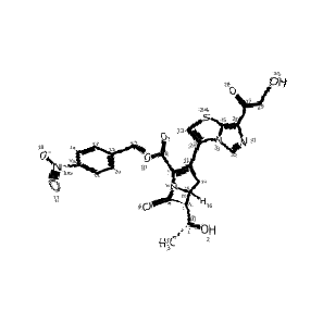 C[C@@H](O)[C@H]1C(=O)N2C(C(=O)OCc3ccc([N+](=O)[O-])cc3)=C(c3csc4c(C(=O)CO)ncn34)C[C@H]12